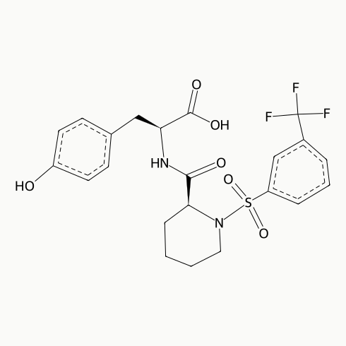 O=C(O)[C@H](Cc1ccc(O)cc1)NC(=O)[C@@H]1CCCCN1S(=O)(=O)c1cccc(C(F)(F)F)c1